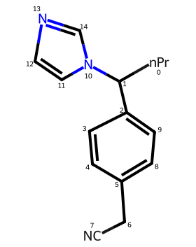 CCCC(c1ccc(CC#N)cc1)n1ccnc1